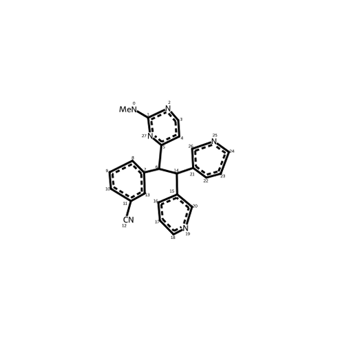 CNc1nccc(C(c2cccc(C#N)c2)C(c2cccnc2)c2cccnc2)n1